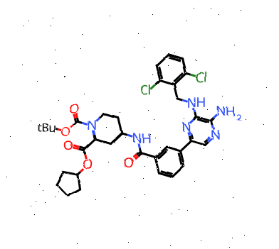 CC(C)(C)OC(=O)N1CCC(NC(=O)c2cccc(-c3cnc(N)c(NCc4c(Cl)cccc4Cl)n3)c2)CC1C(=O)OC1CCCC1